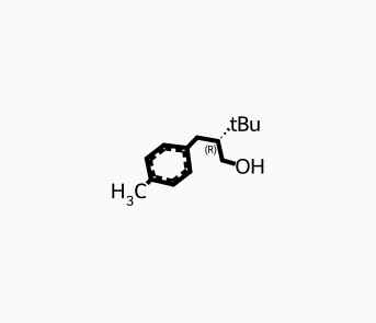 Cc1ccc(C[C@@H](CO)C(C)(C)C)cc1